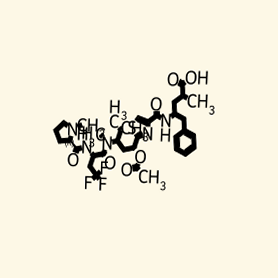 CC(=O)OC(CC(C(C)C)N(C)C(=O)C(CC(F)(F)F)NC(=O)[C@H]1CCCN1C)c1nc(C(=O)NC(Cc2ccccc2)CC(C)C(=O)O)cs1